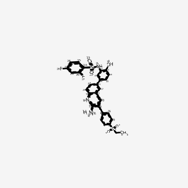 CCS(=O)(=O)c1ccc(-c2cc3cc(-c4ccc(O)c(NS(=O)(=O)c5ccc(F)cc5F)c4)ccc3nc2N)cc1